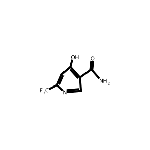 NC(=O)c1cnc(C(F)(F)F)cc1O